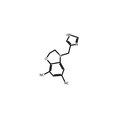 [C-]#[N+]c1cc(C#N)c2c(c1)N(Cc1c[nH]cn1)CCO2